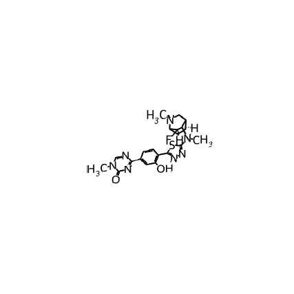 CN1CC2CCC1[C@@H](F)[C@@H]2N(C)c1nnc(-c2ccc(-c3ncn(C)c(=O)n3)cc2O)s1